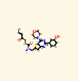 C/C=C/C(=O)CCC(=O)N(C)Cc1cc2nc(-c3cccc(O)c3)nc(N3CCOCC3)c2s1